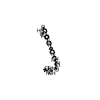 CC(C)(c1n[nH]c(CNC(=O)c2cc(-c3ncc(N4CCC5(CC4)CC(N4CCN(c6ccc(N7CCC(=O)NC7=O)c(F)c6)CC4)C5)cn3)no2)n1)C(F)(F)F